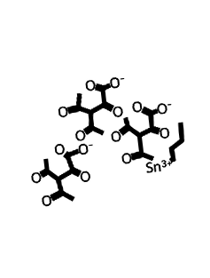 CC(=O)C(C(C)=O)C(=O)C(=O)[O-].CC(=O)C(C(C)=O)C(=O)C(=O)[O-].CC(=O)C(C(C)=O)C(=O)C(=O)[O-].CCC[CH2][Sn+3]